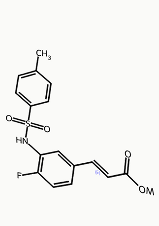 COC(=O)/C=C/c1ccc(F)c(NS(=O)(=O)c2ccc(C)cc2)c1